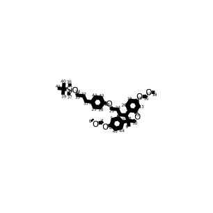 COCOc1ccc(C2(C)COc3cc(OCOC)ccc3C2CCCOc2ccc(CCCO[Si](C)(C)C(C)(C)C)cc2)cc1